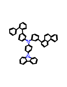 c1ccc(-c2ccccc2-c2cccc(N(c3ccc(-n4c5ccccc5c5ccccc54)cc3)c3cccc(-c4cccc5c4ccc4ccccc45)c3)c2)cc1